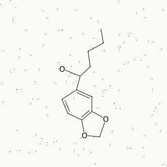 CCCCC([O])c1ccc2c(c1)OCO2